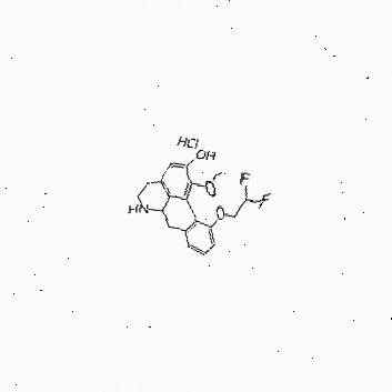 COc1c(O)cc2c3c1-c1c(cccc1OCC(F)F)CC3NCC2.Cl